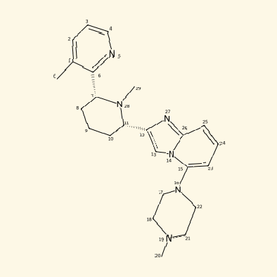 Cc1cccnc1[C@H]1CCC[C@@H](c2cn3c(N4CCN(C)CC4)cccc3n2)N1C